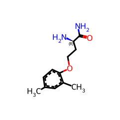 Cc1ccc(OCC[C@@H](N)C(N)=O)c(C)c1